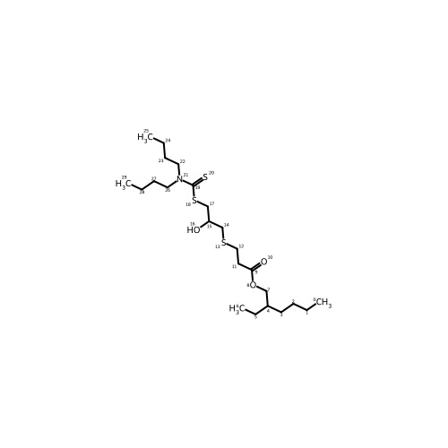 CCCCC(CC)COC(=O)CCSCC(O)CSC(=S)N(CCCC)CCCC